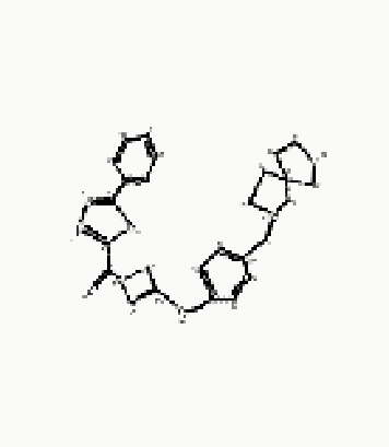 O=C(c1nnc(-c2ccccc2)o1)N1CC(Oc2ccc(CN3CCC4(CCOC4)C3)cc2)C1